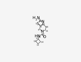 Nc1nc2c(s1)CN(C(=O)NC1CCC1)CC2